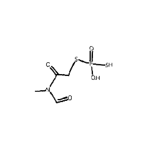 CN(C=O)C(=O)CSP(=O)(O)S